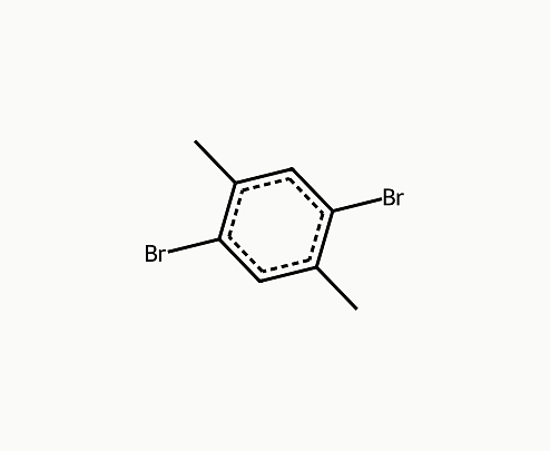 Cc1cc(Br)c(C)cc1Br